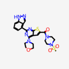 CS(=O)(=O)N1CCN(C(=O)c2cc3c(N4CCOCC4)nc(-c4cccc5[nH]ncc45)nc3s2)CC1